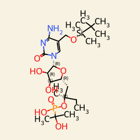 CC[C@](C)(C[C@H]1O[C@@H](n2cc(CO[Si](C)(C)C(C)(C)C)c(N)nc2=O)[C@H](O)[C@@H]1O)OP(=O)(O)C(C)(C)O